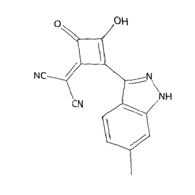 Cc1ccc2c(C3=C(O)C(=O)C3=C(C#N)C#N)n[nH]c2c1